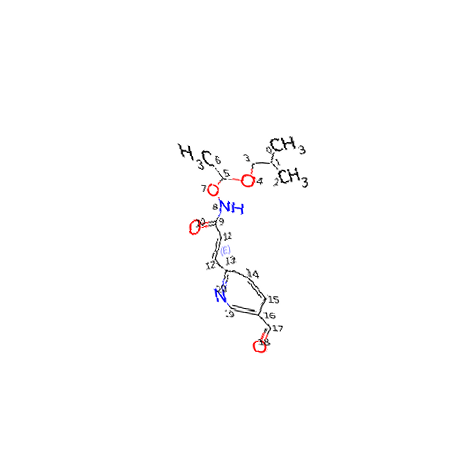 CC(C)COC(C)ONC(=O)/C=C/c1ccc(C=O)cn1